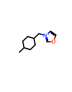 CC1CCC(C[n+]2ccoc2)CC1